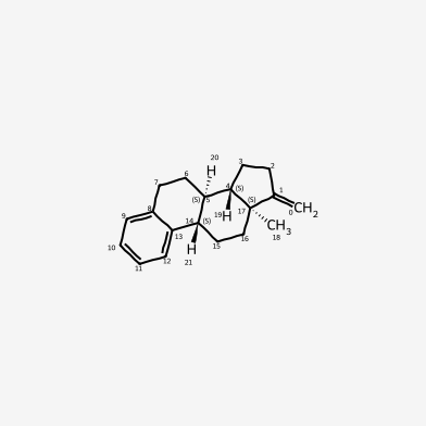 C=C1CC[C@H]2[C@@H]3CCc4ccccc4[C@H]3CC[C@]12C